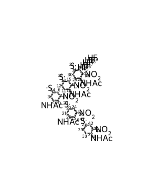 CC(=O)Nc1ccc([S])cc1[N+](=O)[O-].CC(=O)Nc1ccc([S])cc1[N+](=O)[O-].CC(=O)Nc1ccc([S])cc1[N+](=O)[O-].CC(=O)Nc1ccc([S])cc1[N+](=O)[O-].CC(=O)Nc1ccc([S])cc1[N+](=O)[O-].F.F.F.F.F